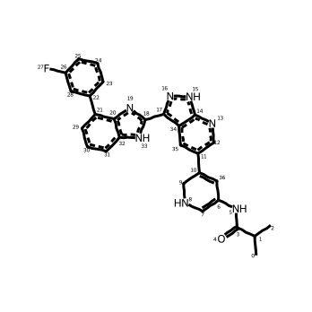 CC(C)C(=O)NC1=CNCC(c2cnc3[nH]nc(-c4nc5c(-c6cccc(F)c6)cccc5[nH]4)c3c2)=C1